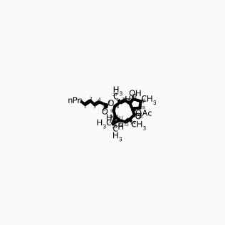 CCC/C=C/C=C/C(=O)O[C@@H]1C[C@H]2[C@@H](/C=C(/C)C(=O)[C@@]3(OC(C)=O)C[C@@H](C)[C@H](O)[C@@H]3/C=C\1C)C2(C)C